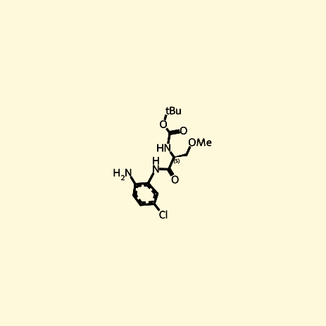 COC[C@H](NC(=O)OC(C)(C)C)C(=O)Nc1cc(Cl)ccc1N